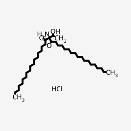 CCCCCCCCCCCCCCCCCC(=O)C(N)(C(=O)CCCCCCCCCCCCCCCCC)C(C)O.Cl